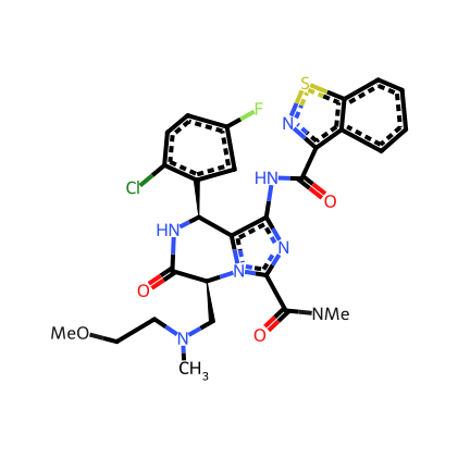 CNC(=O)c1nc(NC(=O)c2nsc3ccccc23)c2n1[C@@H](CN(C)CCOC)C(=O)N[C@H]2c1cc(F)ccc1Cl